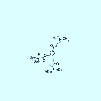 CCCCCCCCCCC(CCCCCCCCCC)C(F)C(=O)OCC1CN(C(=O)CCCN(C)C)CC1COC(=O)C(F)C(CCCCCCCCCC)CCCCCCCCCC